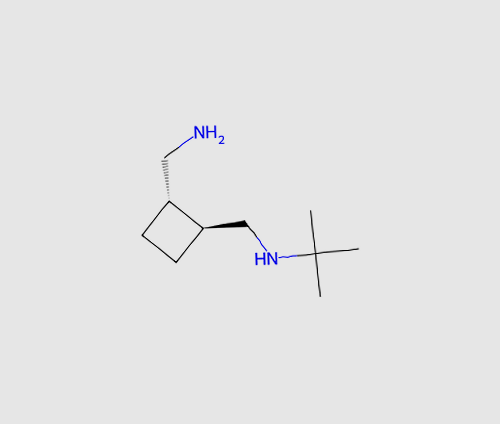 CC(C)(C)NC[C@H]1CC[C@@H]1CN